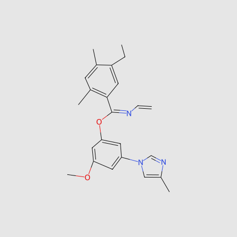 C=C/N=C(/Oc1cc(OC)cc(-n2cnc(C)c2)c1)c1cc(CC)c(C)cc1C